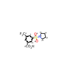 O=C(O)c1cc(C(F)(F)F)cc(S(=O)(=O)N2CCCC2)c1